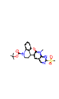 Cn1c(=O)c(C2CCN(C(=O)OC(C)(C)C)c3ccccc32)cc2cnc(S(C)(=O)=O)nc21